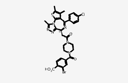 Cc1sc2c(c1C)C(c1ccc(Cl)cc1)=N[C@@H](CC(=O)N1CCN(C(=O)c3ccc(C(=O)O)c(Br)c3)CC1)c1nnc(C)n1-2